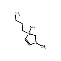 CCCC[N+]1([Mo])C=CN(C)C1